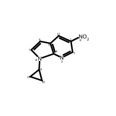 O=[N+]([O-])c1cnc2c(ccn2C2CC2)c1